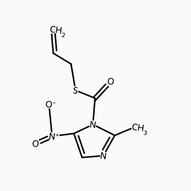 C=CCSC(=O)n1c([N+](=O)[O-])cnc1C